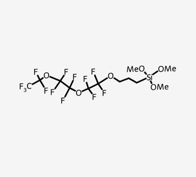 CO[Si](CCCOC(F)(F)C(F)(F)OC(F)(F)C(F)(F)OC(F)(F)C(F)(F)F)(OC)OC